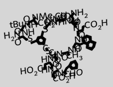 CNC1CSCc2cc(CSCC(NC(=O)C(NC(=O)C(CC(=O)O)NC)C(C)(C)C)C(N)=O)cc(c2)CSCC(C(=O)NC(CCC(=O)O)C(=O)NC(CC(=O)O)C(=O)NC(C=O)Cc2ccccc2)NC(=O)C(C)NC(=O)C(Cc2cccc3ccccc23)NC(=O)C(CCC(=O)O)NC(=O)C(CC(N)=O)NC(=O)C(C)N1